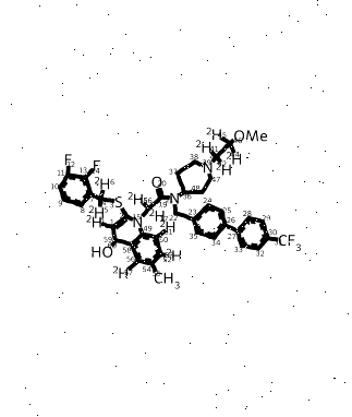 [2H]C1=C(SC([2H])([2H])c2cccc(F)c2F)N(C([2H])([2H])C(=O)N(Cc2ccc(-c3ccc(C(F)(F)F)cc3)cc2)C2CCN(C([2H])([2H])C([2H])([2H])OC)CC2)c2c([2H])c([2H])c(C)c([2H])c2C1O